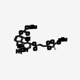 CCCCOC(=O)[C@H](C)OC(=O)CCC(=O)OC1=CC[C@@]2(O)[C@H]3Cc4ccc(OC(=O)OC(C)(C)C)c5c4[C@@]2(CCN3C)[C@H]1O5